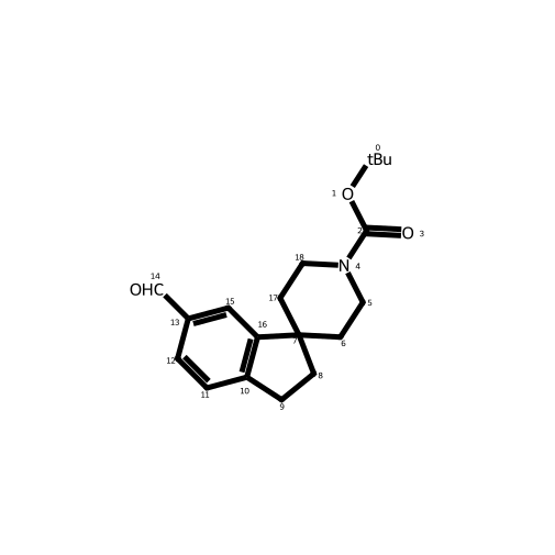 CC(C)(C)OC(=O)N1CCC2(CCc3ccc(C=O)cc32)CC1